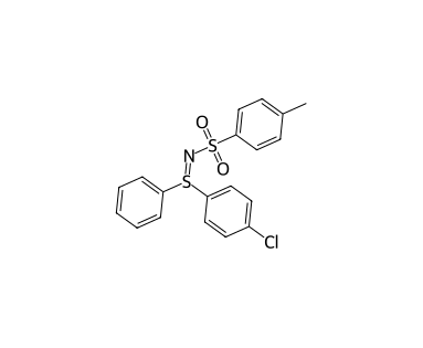 Cc1ccc(S(=O)(=O)N=S(c2ccccc2)c2ccc(Cl)cc2)cc1